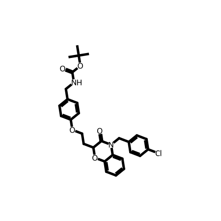 CC(C)(C)OC(=O)NCc1ccc(OCCC2Oc3ccccc3N(Cc3ccc(Cl)cc3)C2=O)cc1